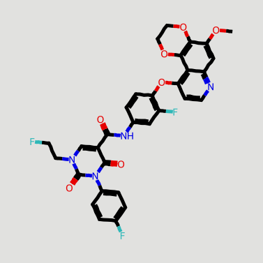 COc1cc2nccc(Oc3ccc(NC(=O)c4cn(CCF)c(=O)n(-c5ccc(F)cc5)c4=O)cc3F)c2c2c1OCCO2